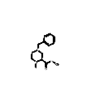 CN1CCN(Cc2ccccc2)CC1C(=O)OO